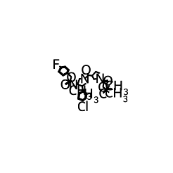 CN(C(=O)Oc1ccc(F)cc1)C1CN(C(=O)C2CCN(C(=O)OC(C)(C)C)C2)CC1c1ccc(Cl)cc1